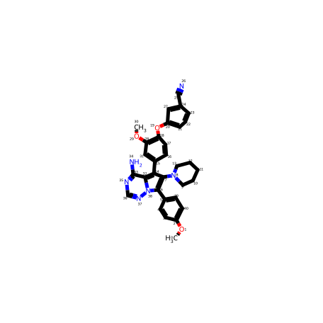 COc1ccc(-c2c(N3CCCCC3)c(-c3ccc(Oc4cccc(C#N)c4)c(OC)c3)c3c(N)ncnn23)cc1